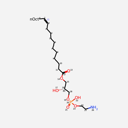 CCCCCCCC/C=C\CCCCCCCCCC(=O)OC[C@@H](O)COP(=O)(O)OCCN